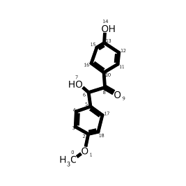 COc1ccc(C(O)C(=O)c2ccc(O)cc2)cc1